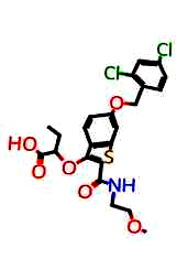 CCC(Oc1c(C(=O)NCCOC)sc2cc(OCc3ccc(Cl)cc3Cl)ccc12)C(=O)O